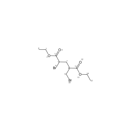 CCOC(=O)C(Br)CC(CBr)C(=O)OCC